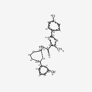 Cc1nc(-c2ccc(Cl)cc2)sc1C(=O)NC1CCCN(c2cccc(O)c2)C1